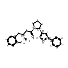 N[C@@H](CC(=O)N1CCC[C@H]1c1cn(-c2ccccc2)nn1)Cc1ccccc1F